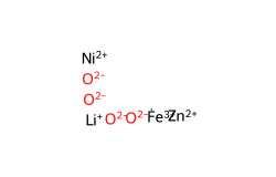 [Fe+3].[Li+].[Ni+2].[O-2].[O-2].[O-2].[O-2].[Zn+2]